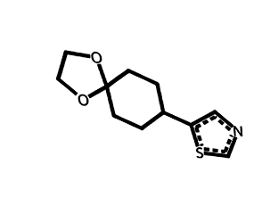 c1ncc(C2CCC3(CC2)OCCO3)s1